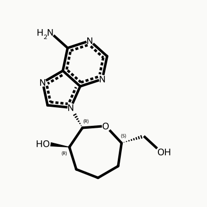 Nc1ncnc2c1ncn2[C@@H]1O[C@H](CO)CCC[C@H]1O